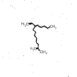 C=CC(CCCCC)CCCCCCC(=C)C